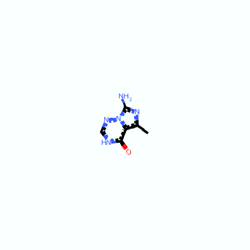 Cc1nc(N)n2nc[nH]c(=O)c12